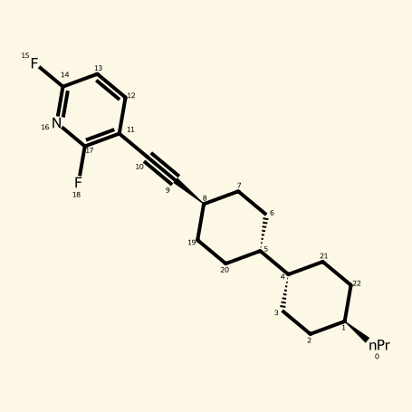 CCC[C@H]1CC[C@H]([C@H]2CC[C@H](C#Cc3ccc(F)nc3F)CC2)CC1